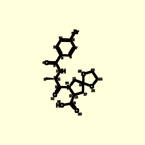 C[C@H](NC(=O)c1ccc(Br)cc1)C(=O)N1CC2(C[C@H]1C(=O)O)OCCO2